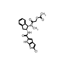 CC(=O)OCC(=O)N(C)[C@@H]1c2ccccc2C[C@H]1NC(=O)c1cc2cc(Cl)sc2[nH]1